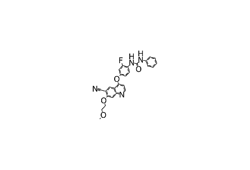 COCCOc1cc2nccc(Oc3ccc(NC(=O)Nc4ccccc4)c(F)c3)c2cc1C#N